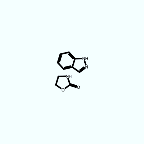 O=C1NCCO1.c1ccc2[nH]ncc2c1